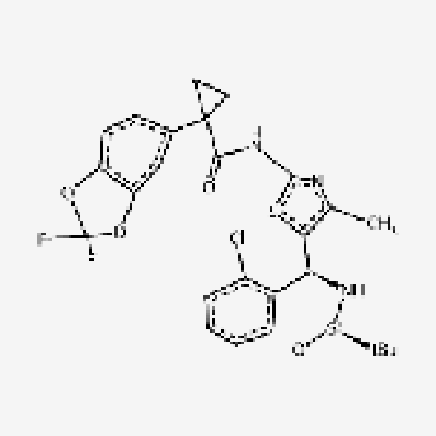 Cc1nc(NC(=O)C2(c3ccc4c(c3)OC(F)(F)O4)CC2)sc1[C@@H](N[S@+]([O-])C(C)(C)C)c1ccccc1Cl